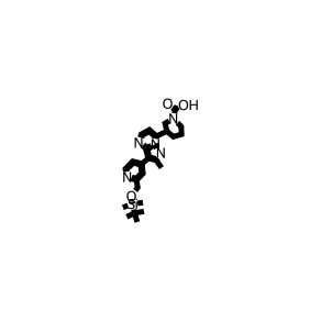 Cc1nn2c(C3CCCN(C(=O)O)C3)ccnc2c1-c1ccnc(CO[Si](C)(C)C(C)(C)C)c1